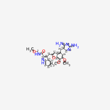 COCNC(=O)c1[nH]c2ccccc2c1Cc1cc2c(Cc3cnc(N)nc3N)cc(OC)c(OC)c2o1